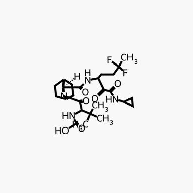 CC(F)(F)CCC(NC(=O)[C@@H]1C2CCC(CC2)N1C(=O)C(NC(=O)O)C(C)(C)C)C(=O)C(=O)NC1CC1